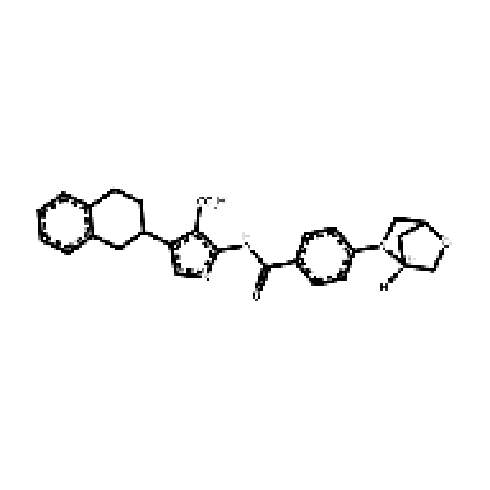 O=C(Nc1scc(C2CCc3ccccc3C2)c1C(=O)O)c1ccc(N2CC3C[C@@H]2CO3)cc1